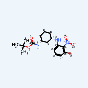 CC(C)(C)OC(=O)N[C@@H]1CCC[C@H](Nc2cccc(Br)c2[N+](=O)[O-])C1